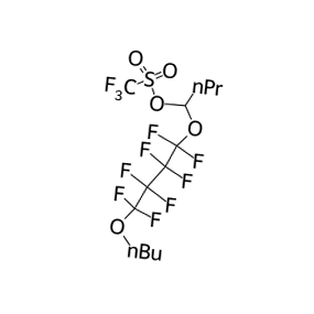 CCCCOC(F)(F)C(F)(F)C(F)(F)C(F)(F)OC(CCC)OS(=O)(=O)C(F)(F)F